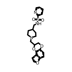 O=S(=O)(NCC1CCN(CC2COc3ccc4occc4c3O2)CC1)c1ccccn1